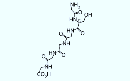 NCC(=O)N[C@@H](CO)C(=O)NCC(=O)NCC(=O)NCC(=O)NCC(=O)O